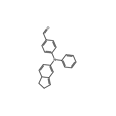 O=Cc1ccc(N(C2=CC3=CCCC3C=C2)c2ccccc2)cc1